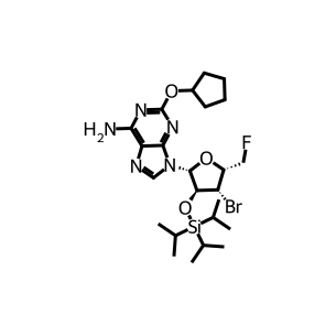 CC(C)[Si](O[C@@H]1[C@@H](Br)[C@@H](CF)O[C@H]1n1cnc2c(N)nc(OC3CCCC3)nc21)(C(C)C)C(C)C